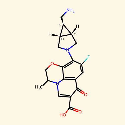 CC1COc2c(N3C[C@@H]4[C@@H](CN)[C@@H]4C3)c(F)cc3c(=O)c(C(=O)O)cn1c23